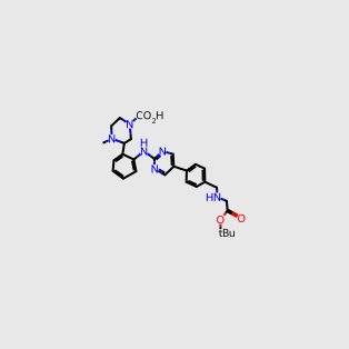 CN1CCN(C(=O)O)CC1c1ccccc1Nc1ncc(-c2ccc(CNCC(=O)OC(C)(C)C)cc2)cn1